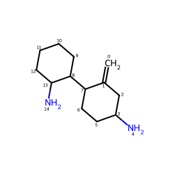 C=C1CC(N)CCC1C1CCCCC1N